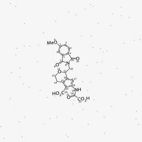 COc1ccc2c(c1)C(=O)N(CC1OCCc3c1sc(NC(=O)C(=O)O)c3C(=O)O)C2=O